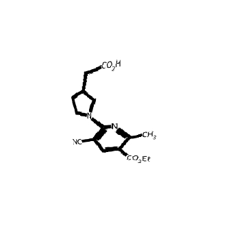 CCOC(=O)c1cc(C#N)c(N2CCC(CC(=O)O)C2)nc1C